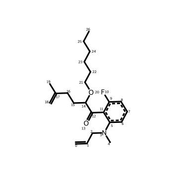 C=CCN(C)c1cccc(F)c1C(=O)C(CCC(=C)C)OCCCCCC